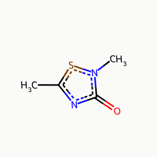 Cc1nc(=O)n(C)s1